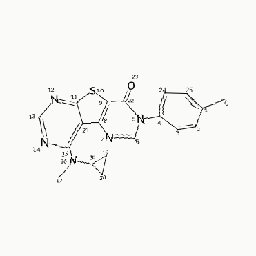 Cc1ccc(-n2cnc3c(sc4ncnc(N(C)C5CC5)c43)c2=O)cc1